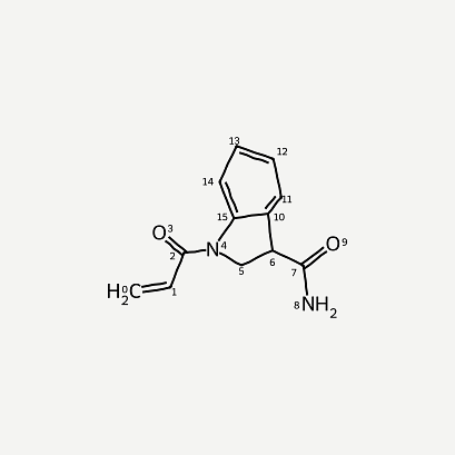 C=CC(=O)N1CC(C(N)=O)c2ccccc21